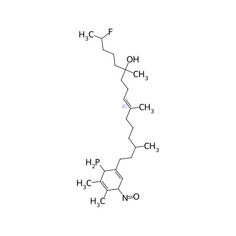 CC1=C(C)C(P)C(CCC(C)CCC/C(C)=C/CCC(C)(O)CCCC(C)F)=CC1N=O